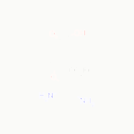 CCOC(=O)c1cc(N)cc(N)c1Oc1ccc(C(=O)C(C)(C)O)cc1